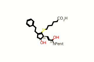 CCCCC[C@H](O)C=C[C@@H]1C(SCCCCCC(=O)O)=C(CCc2ccccc2)C[C@H]1O